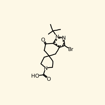 CC(C)(C)n1nc(Br)c2c1C(=O)CC1(CCN(C(=O)O)CC1)C2